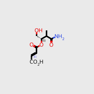 CC(C(N)=O)[C@@H](CO)OC(=O)/C=C/C(=O)O